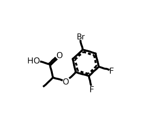 CC(Oc1cc(Br)cc(F)c1F)C(=O)O